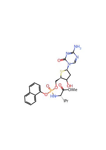 COC(=O)[C@@H](NP(=O)(OC[C@H]1S[C@@H](n2cnc(N)nc2=O)CC1O)Oc1cccc2ccccc12)C(C)C